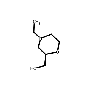 CCN1CCO[C@@H](CO)C1